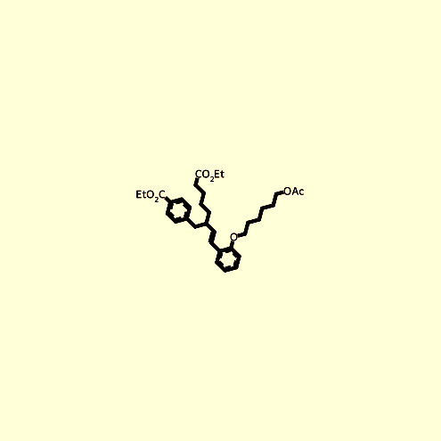 CCOC(=O)CCCCC(/C=C/c1ccccc1OCCCCCCOC(C)=O)Cc1ccc(C(=O)OCC)cc1